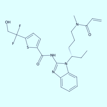 C=CC(=O)N(C)CCC[C@H](CC)n1c(NC(=O)c2ccc(C(F)(F)CO)s2)nc2ccccc21